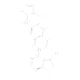 Cc1coc2ncnc(N3CCc4ncc(Nc5ccnn5C)cc4C3)c12